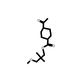 COCC(C)(C)COC(=O)C1CCC(C(C)=O)CC1